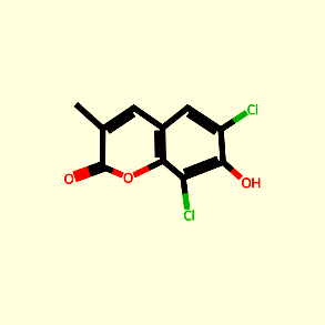 Cc1cc2cc(Cl)c(O)c(Cl)c2oc1=O